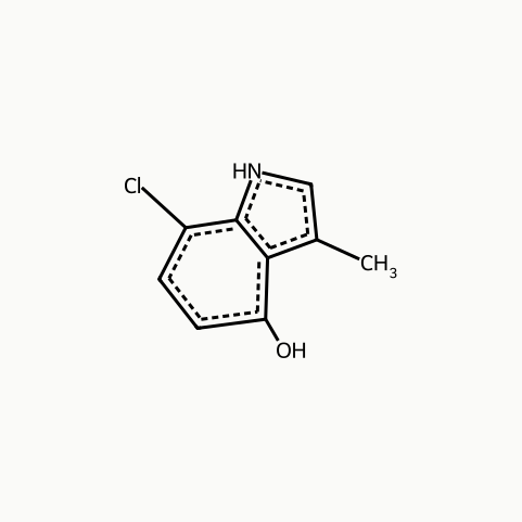 Cc1c[nH]c2c(Cl)ccc(O)c12